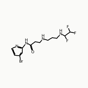 O=C(CCNCCCNC(F)C(F)F)Nc1cc(Br)ccn1